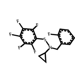 Fc1ccccc1CN(Sc1c(F)c(F)c(F)c(F)c1F)C1CC1